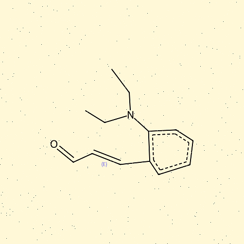 CCN(CC)c1ccccc1/C=C/C=O